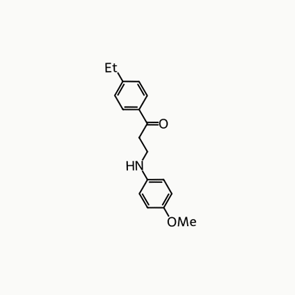 CCc1ccc(C(=O)CCNc2ccc(OC)cc2)cc1